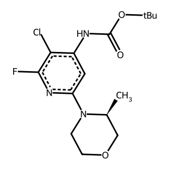 C[C@H]1COCCN1c1cc(NC(=O)OC(C)(C)C)c(Cl)c(F)n1